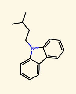 CC(C)CCn1c2cc[c]cc2c2ccccc21